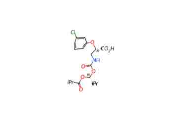 CC(C)C(=O)O[C@H](OC(=O)NC[C@H](Oc1cccc(Cl)c1)C(=O)O)C(C)C